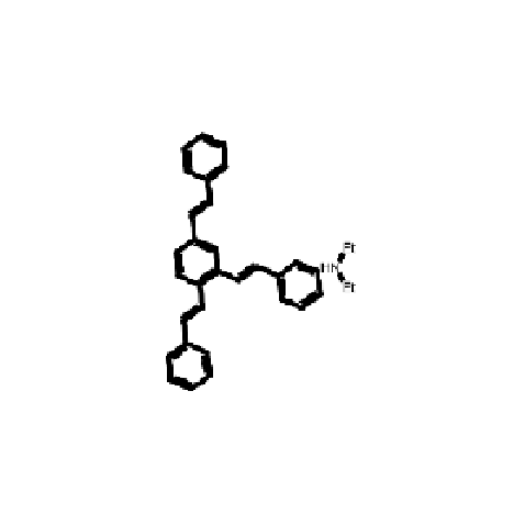 C(=Cc1ccc(C=Cc2ccccc2)c(C=Cc2ccccc2)c1)c1ccccc1.CCNCC